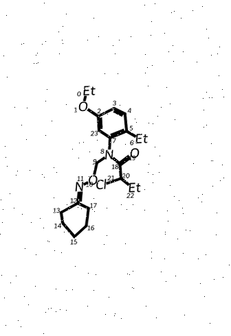 CCOc1ccc(CC)c(N(CON=C2CCCCC2)C(=O)C(Cl)CC)c1